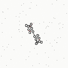 C(=C\c1ccc2c(c1)C(c1ccccc1)(c1ccccc1)c1cc(N(c3ccccc3)c3ccc4ccccc4c3)ccc1-2)/c1ccc2c(c1)C(c1ccccc1)(c1ccccc1)c1cc(N(c3ccccc3)c3ccc4ccccc4c3)ccc1-2